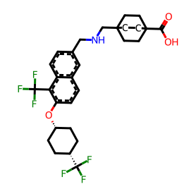 O=C(O)C12CCC(CNCc3ccc4c(C(F)(F)F)c(O[C@H]5CC[C@@H](C(F)(F)F)CC5)ccc4c3)(CC1)CC2